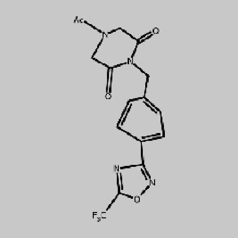 CC(=O)N1CC(=O)N(Cc2ccc(-c3noc(C(F)(F)F)n3)cc2)C(=O)C1